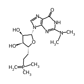 C=P(C)(C)CC[C@H]1O[C@@H](n2cnc3c(=O)[nH]c(N(C)C)nc32)[C@H](O)[C@@H]1O